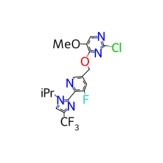 COc1cnc(Cl)nc1OCc1cnc(-c2nc(C(F)(F)F)cn2C(C)C)c(F)c1